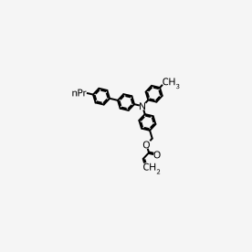 C=CC(=O)OCc1ccc(N(c2ccc(C)cc2)c2ccc(-c3ccc(CCC)cc3)cc2)cc1